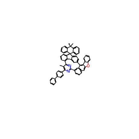 Cc1c(-c2ccc(-c3ccccc3)cc2)nc(-c2ccccc2)nc1-c1cccc2c1-c1cc(-c3cccc4oc5ccccc5c34)ccc1C21c2ccccc2C(C)(C)c2ccccc21